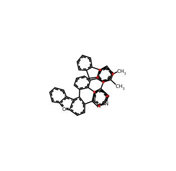 Cc1cc2c(c(-c3cnnnc3-c3c(-c4ccccc4)cccc3-c3c(-c4ccccc4)ccc4oc5ccccc5c34)c1C)Cc1ccccc1-2